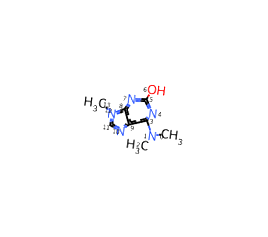 CN(C)c1nc(O)nc2c1ncn2C